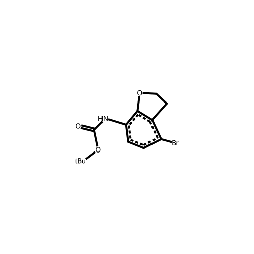 CC(C)(C)OC(=O)Nc1ccc(Br)c2c1OCC2